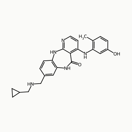 Cc1ccc(O)cc1Nc1ccnc2c1C(=O)Nc1cc(CNCC3CC3)ccc1N2